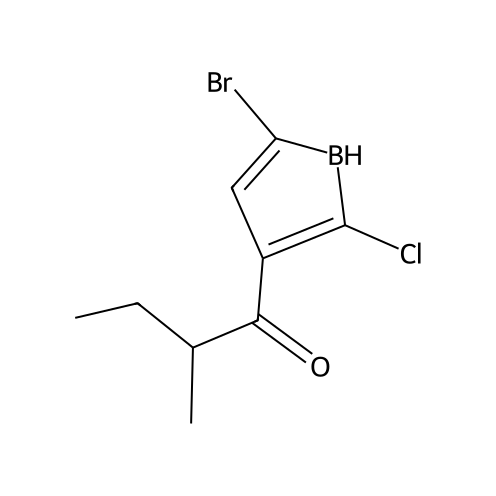 CCC(C)C(=O)C1=C(Cl)BC(Br)=C1